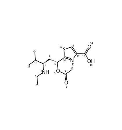 CCN[C@H](C[C@@H](OC(C)=O)c1nc(C(=O)O)cs1)C(C)C